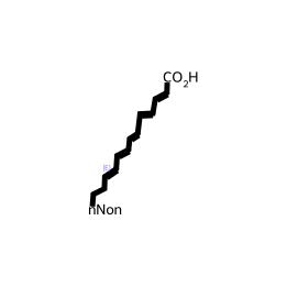 CCCCCCCCCCC/C=C/C=CC=CC=CC=CC(=O)O